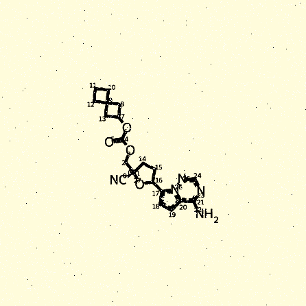 N#C[C@@]1(COC(=O)OC2CC3(CCC3)C2)CCC(c2ccc3c(N)ncnn23)O1